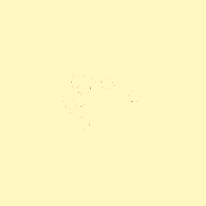 O=C(Nc1ccc(OCc2ccccc2)cc1)c1ccccc1Nc1ccnc2cc(C(F)(F)F)ccc12